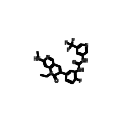 CCn1c(=O)c(-c2ccc(F)c(NC(=O)Nc3cncc(C(F)(F)F)c3)c2)cc2cnc(NC)cc21